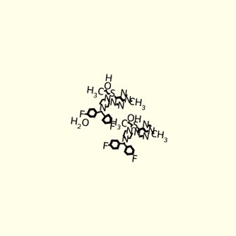 CC(O)C(Sc1ncnc2c1ncn2C)N1CCN(C(c2ccc(F)cc2)c2ccc(F)cc2)CC1.CC(O)C(Sc1ncnc2c1ncn2C)N1CCN(C(c2ccc(F)cc2)c2ccc(F)cc2)CC1.O